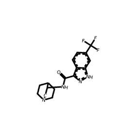 O=C(NC1CN2CCC1CC2)c1n[nH]c2cc(C(F)(F)F)ccc12